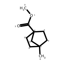 COC(=O)C12CCC(C)(CC1)C2